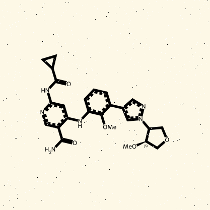 COc1c(Nc2cc(NC(=O)C3CC3)ncc2C(N)=O)cccc1-c1cnn(C2COC[C@H]2OC)c1